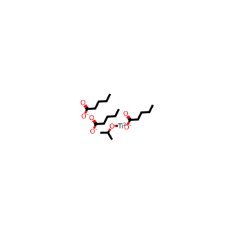 CC(C)[O][Ti+3].CCCCC(=O)[O-].CCCCC(=O)[O-].CCCCC(=O)[O-]